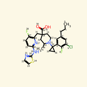 CCCc1cc(Cl)c(F)c(C2(N3CCC(Cc4nc(Nc5nccs5)ccc4F)(C(=O)O)CC3C)CC2)c1